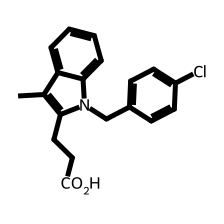 Cc1c(CCC(=O)O)n(Cc2ccc(Cl)cc2)c2ccccc12